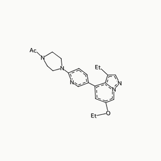 CCOc1cc(-c2ccc(N3CCN(C(C)=O)CC3)nc2)c2c(CC)cnn2c1